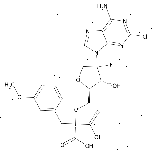 COc1cccc(CC(OC[C@H]2OCC(F)(n3cnc4c(N)nc(Cl)nc43)[C@@H]2O)(C(=O)O)C(=O)O)c1